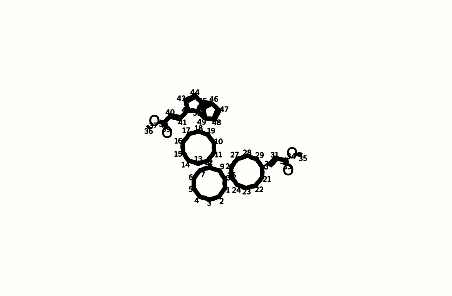 C1CCCCCCCCC1.C1CCCCCCCCC1.C1CCCCCCCCC1.C=CC(=O)OC.COC(=O)C=CC1C=CC2C3C=CC(C3)C12